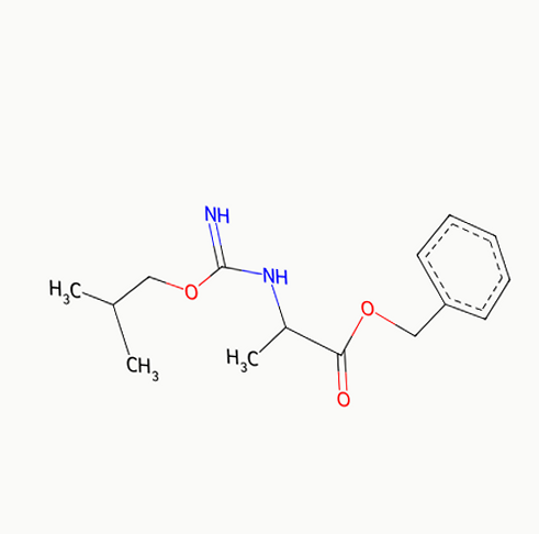 CC(C)COC(=N)NC(C)C(=O)OCc1ccccc1